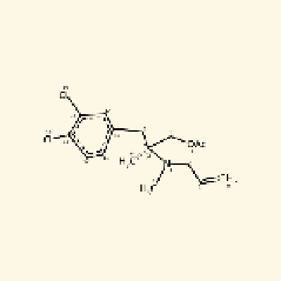 C=CCN(C)[C@](C)([CH]OC(C)=O)Cc1ccc(Cl)c(Cl)c1